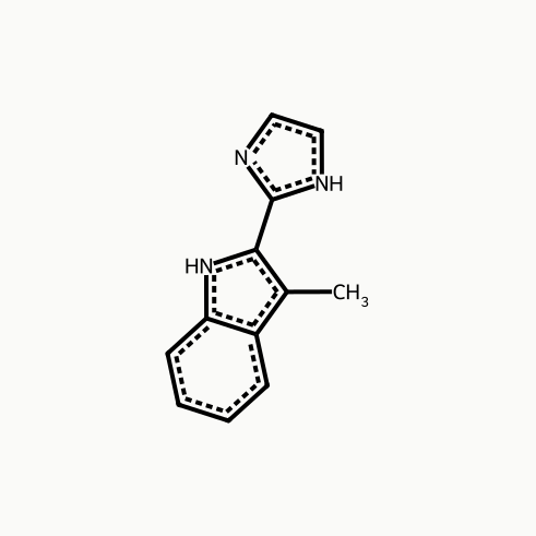 Cc1c(-c2ncc[nH]2)[nH]c2ccccc12